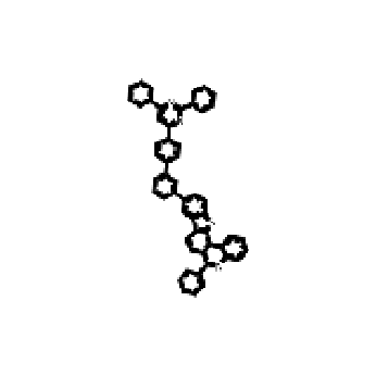 c1ccc(-c2cc(-c3ccc(-c4cccc(-c5ccc6sc7c(ccc8c(-c9ccccc9)nc9ccccc9c87)c6c5)c4)cc3)nc(-c3ccccc3)n2)cc1